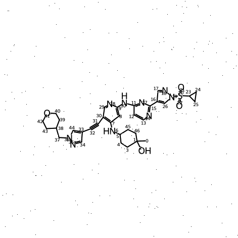 CC1(O)CCC(Nc2cc(Nc3ccnc(-c4cnn(S(=O)(=O)C5CC5)c4)n3)ncc2C#Cc2cnn(CC3CCOCC3)c2)CC1